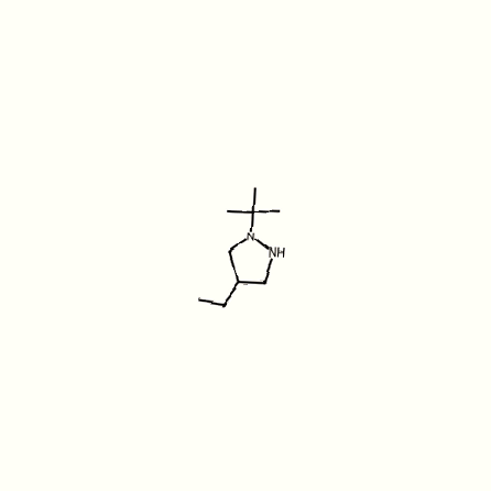 CCC1CNN(C(C)(C)C)C1